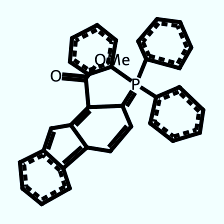 COC(=O)C1=C2C=c3ccccc3=C2C=CC1=P(c1ccccc1)(c1ccccc1)c1ccccc1